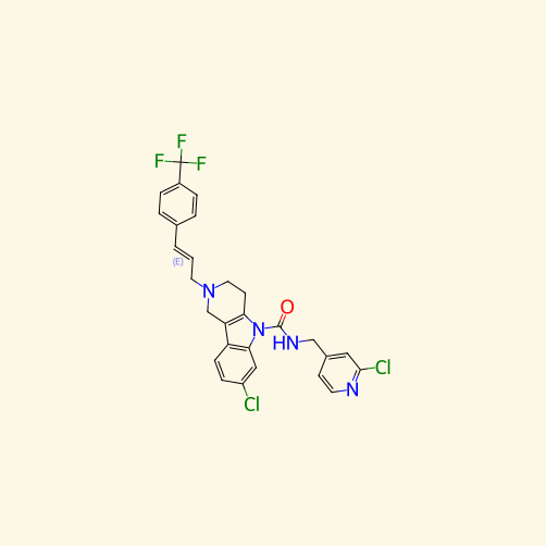 O=C(NCc1ccnc(Cl)c1)n1c2c(c3ccc(Cl)cc31)CN(C/C=C/c1ccc(C(F)(F)F)cc1)CC2